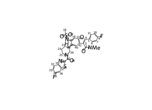 CNC(=O)c1c(-c2ccc(F)cc2)oc2cc(NS(C)(=O)=O)c([C@@H]3CCCN(C(=O)c4nc5ccc(F)cc5s4)C3)cc12